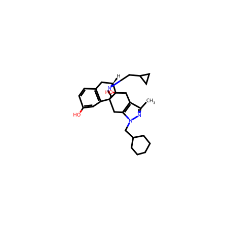 Cc1nn(CC2CCCCC2)c2c1C[C@@]1(O)[C@H]3Cc4ccc(O)cc4[C@@]1(CCN3CC1CC1)C2